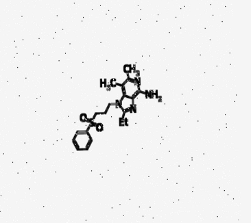 CCc1nc2c(N)nc(C)c(C)c2n1CCCS(=O)(=O)c1ccccc1